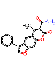 Cc1c(C(N)=O)c(=O)oc2cc3occ(-c4ccccc4)c3cc12